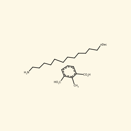 CCCCCCCCCCCCCCCCCCCCCCN.Cc1c(C(=O)O)cccc1C(=O)O